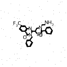 CC(C)C(CN(CCN)C(=O)c1ccccc1)c1nc2cc(C(F)(F)F)ccc2c(=O)n1Cc1ccccc1